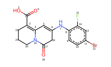 O=C(O)C1=C2C=C(Nc3ccc(Br)cc3F)CC(=O)N2CCC1